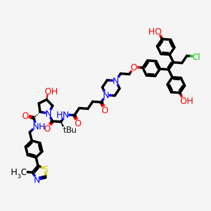 Cc1ncsc1-c1ccc(CNC(=O)[C@@H]2C[C@@H](O)CN2C(=O)[C@@H](NC(=O)CCCC(=O)N2CCN(CCOc3ccc(C(=C(CCCl)c4ccc(O)cc4)c4ccc(O)cc4)cc3)CC2)C(C)(C)C)cc1